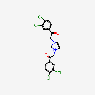 O=C(CN1C=CN(CC(=O)c2ccc(Cl)c(Cl)c2)C1)c1ccc(Cl)c(Cl)c1